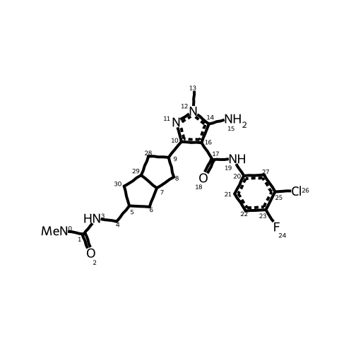 CNC(=O)NCC1CC2CC(c3nn(C)c(N)c3C(=O)Nc3ccc(F)c(Cl)c3)CC2C1